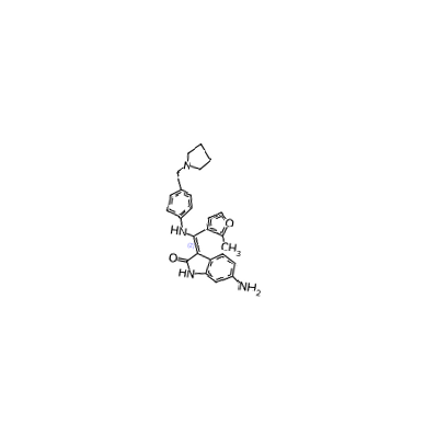 Cc1occc1/C(Nc1ccc(CN2CCCC2)cc1)=C1/C(=O)Nc2cc(N)ccc21